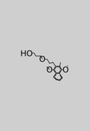 COc1c(C)c(CCCOCCCO)c(OC)c2ccccc12